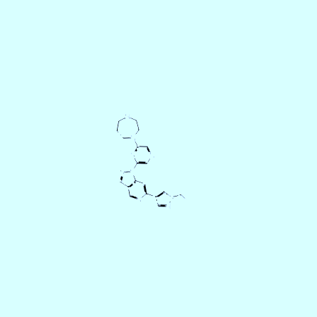 CCn1cc(-c2cc3c(cn2)cnn3-c2cncc(N3CCCNCC3)n2)cn1